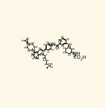 C[Si](C)(C)CCOCn1c(-c2ccc(NC(=O)c3cc(CN4CCC[C@@H](NC(=O)O)C4)ccn3)cc2)cc2c(N3CCN(C4CC4)CC3)ncnc21